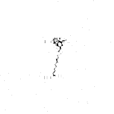 CC(C)CCCCCCCCCOC(=O)Cc1cc(C(C)(C)C)c(O)c(C(C)(C)C)c1